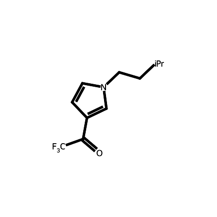 CC(C)CCn1ccc(C(=O)C(F)(F)F)c1